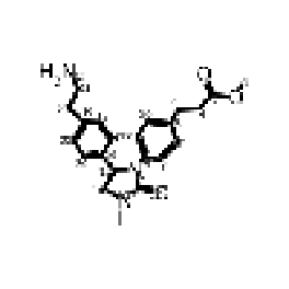 COC(=O)CCc1ccc(N2C(=O)NCC2c2ccc(CCN)cc2)cc1